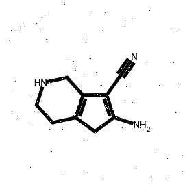 N#CC1=C(N)CC2=C1CNCC2